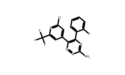 Nc1nnc(-c2cc(Cl)nc(C(F)(F)F)c2)c(-c2ccccc2F)n1